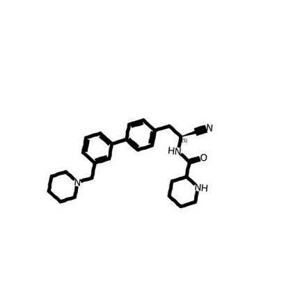 N#C[C@H](Cc1ccc(-c2cccc(CN3CCCCC3)c2)cc1)NC(=O)C1CCCCN1